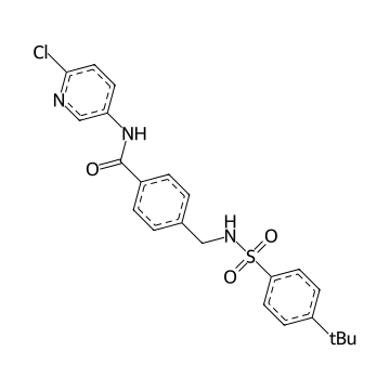 CC(C)(C)c1ccc(S(=O)(=O)NCc2ccc(C(=O)Nc3ccc(Cl)nc3)cc2)cc1